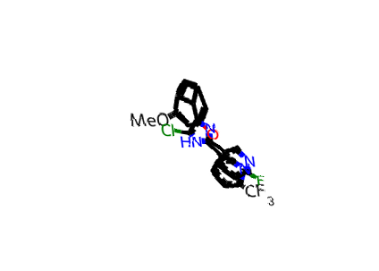 COC1=CC(OCc2ccc(C(F)(F)F)nc2)=CC2=C=C1C2c1nc(-c2ccc(F)nc2)[nH]c1Cl